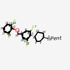 CCCCC[C@H]1CC[C@H](c2c(F)cc(COc3c(F)cccc3F)cc2F)CC1